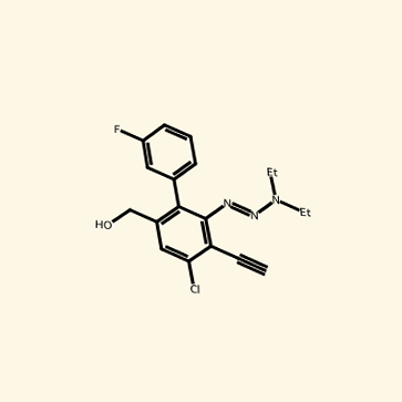 C#Cc1c(Cl)cc(CO)c(-c2cccc(F)c2)c1/N=N/N(CC)CC